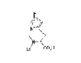 CCN(I)C(Cc1c[nH]cn1)C(=O)O